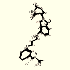 CC(=O)N[C@H](C)c1cccc(OCCCNc2cccc3c2CN(C2CCC(=O)NC2=O)C3=O)c1